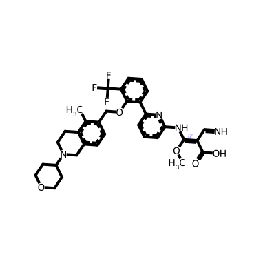 CO/C(Nc1cccc(-c2cccc(C(F)(F)F)c2OCc2ccc3c(c2C)CCN(C2CCOCC2)C3)n1)=C(/C=N)C(=O)O